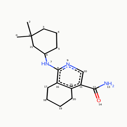 CC1(C)CCCC(Nc2ncc(C(N)=O)c3c2CCCC3)C1